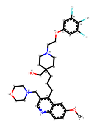 COc1ccc2ncc(CN3CCOCC3)c(CCCC3(CO)CCN(CCOc4cc(F)c(F)c(F)c4)CC3)c2c1